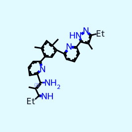 CCC(=N)/C(C)=C(\N)c1cccc(-c2cc(-c3cccc(-c4[nH]nc(CC)c4C)n3)c(C)cc2C)n1